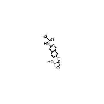 O=C(Nc1cc2ccc(O[C@H]3COCC3O)cc2cn1)C1CC1